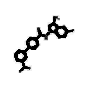 Cc1cn(NC(=O)c2cnc(-c3cccc(C(F)F)c3)nc2)c2ccc(F)cc12